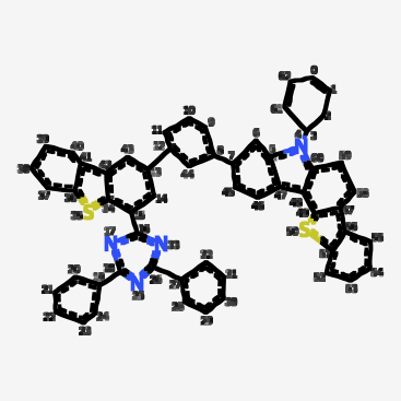 C1=CCC(n2c3cc(-c4cccc(-c5cc(-c6nc(-c7ccccc7)nc(-c7ccccc7)n6)c6sc7ccccc7c6c5)c4)ccc3c3c4sc5ccccc5c4ccc32)C=C1